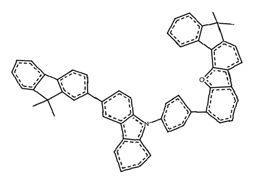 CC1(C)c2ccccc2-c2ccc(-c3ccc4c(c3)c3ccccc3n4-c3ccc(-c4cccc5c4oc4c6c(ccc45)C(C)(C)c4ccccc4-6)cc3)cc21